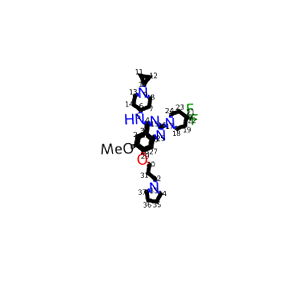 COc1cc2c(NC3CCN(C4CC4)CC3)nc(N3CCC(F)(F)CC3)nc2cc1OCCCN1CCCC1